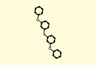 c1ccc(Oc2cccc([I+]c3cccc(Oc4ccccc4)c3)c2)cc1